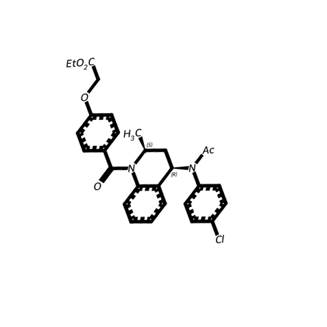 CCOC(=O)COc1ccc(C(=O)N2c3ccccc3[C@H](N(C(C)=O)c3ccc(Cl)cc3)C[C@@H]2C)cc1